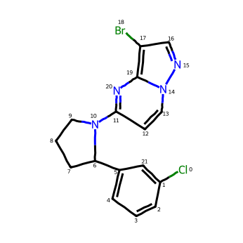 Clc1cccc(C2CCCN2c2ccn3ncc(Br)c3n2)c1